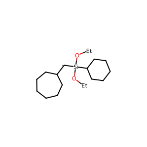 CCO[Si]([CH]C1CCCCCC1)(OCC)C1CCCCC1